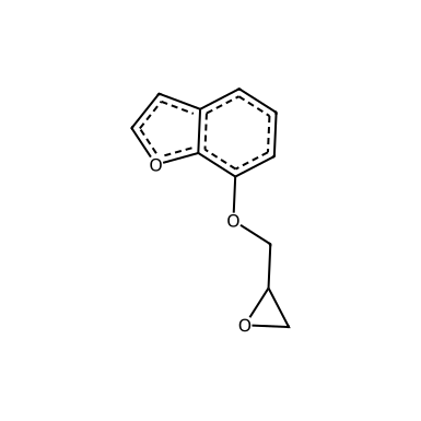 c1cc(OCC2CO2)c2occc2c1